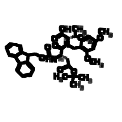 COc1ccc(CN(C(=O)[C@H](CC(=O)OC(C)(C)C)NC(=O)OCC2c3ccccc3-c3ccccc32)[C@H](C(=O)O)C(C)C)c(OC)c1